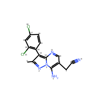 Cc1nn2c(N)c(CC#N)cnc2c1-c1ccc(Cl)cc1Cl